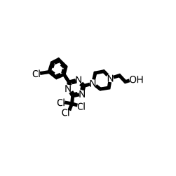 OCCN1CCN(c2nc(-c3cccc(Cl)c3)nc(C(Cl)(Cl)Cl)n2)CC1